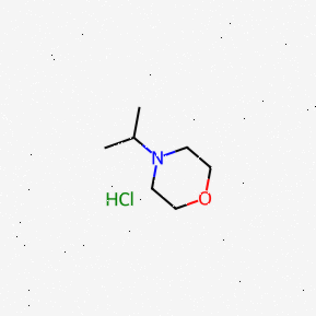 CC(C)N1CCOCC1.Cl